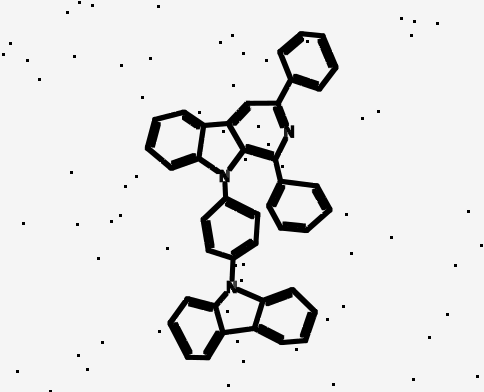 c1ccc(-c2cc3c4ccccc4n(-c4ccc(-n5c6ccccc6c6ccccc65)cc4)c3c(-c3ccccc3)n2)cc1